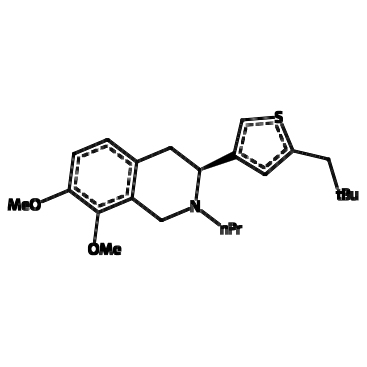 CCCN1Cc2c(ccc(OC)c2OC)C[C@H]1c1csc(CC(C)(C)C)c1